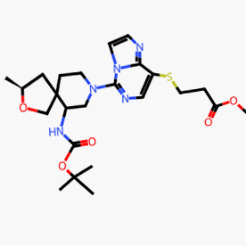 COC(=O)CCSc1cnc(N2CCC3(CO[C@@H](C)C3)C(NC(=O)OC(C)(C)C)C2)n2ccnc12